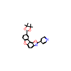 CC1(C)OB(c2ccc3oc4ccc5nc(-c6ccncc6)oc5c4c3c2)OC1(C)C